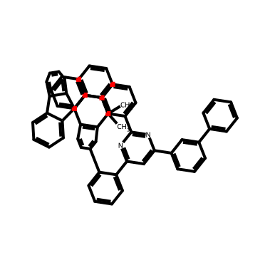 CC1(C)c2ccccc2C2(c3ccccc3-c3ccccc32)c2ccc(-c3ccccc3-c3cc(-c4cccc(-c5ccccc5)c4)nc(-c4cccc(-c5ccccc5)c4)n3)cc21